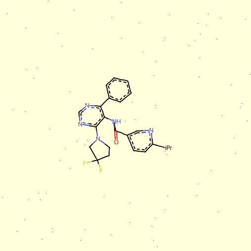 CC(C)c1ccc(C(=O)Nc2c(-c3ccccc3)ncnc2N2CCC(F)(F)C2)cn1